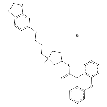 C[N+]1(CCCOc2ccc3c(c2)OCO3)CCC(OC(=O)C2c3ccccc3Oc3ccccc32)C1.[Br-]